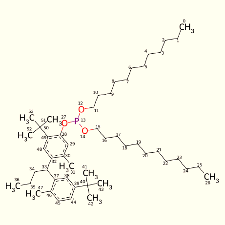 CCCCCCCCCCCCOP(OCCCCCCCCCCCC)Oc1cc(C)c(C(CCC)c2cc(C(C)(C)C)[c]cc2C)cc1C(C)(C)C